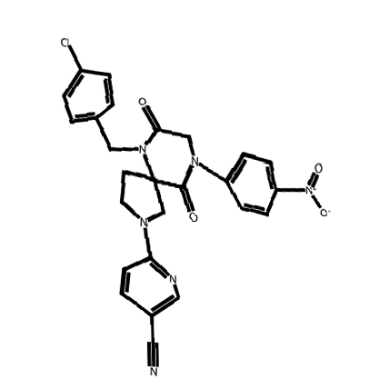 N#Cc1ccc(N2CCC3(C2)C(=O)N(c2ccc([N+](=O)[O-])cc2)CC(=O)N3Cc2ccc(Cl)cc2)nc1